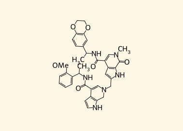 COc1ccccc1C(C)NC(=O)C1=CN(Cc2cc3c(C(=O)NC(C)c4ccc5c(c4)OCCO5)cn(C)c(=O)c3[nH]2)Cc2[nH]ccc21